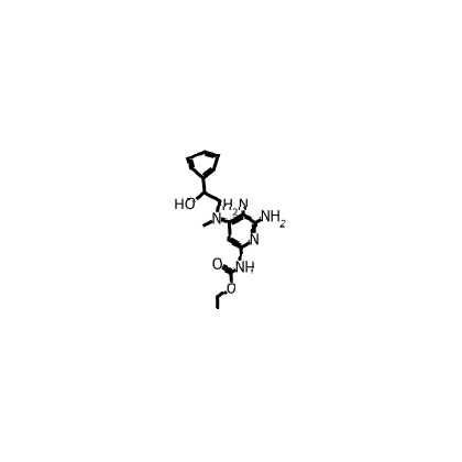 CCOC(=O)Nc1cc(N(C)CC(O)c2ccccc2)c(N)c(N)n1